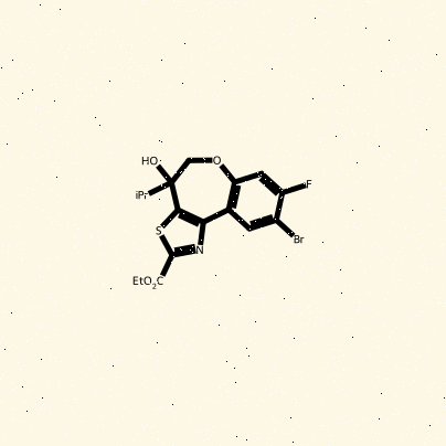 CCOC(=O)c1nc2c(s1)C(O)(C(C)C)COc1cc(F)c(Br)cc1-2